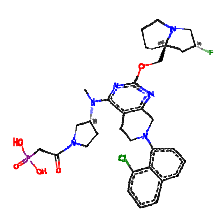 CN(c1nc(OC[C@@]23CCCN2C[C@H](F)C3)nc2c1CCN(c1cccc3cccc(Cl)c13)C2)[C@@H]1CCN(C(=O)CP(=O)(O)O)C1